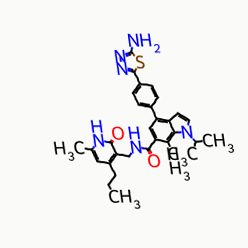 CCCc1cc(C)[nH]c(=O)c1CNC(=O)c1cc(-c2ccc(-c3nnc(N)s3)cc2)c2ccn(C(C)C)c2c1C